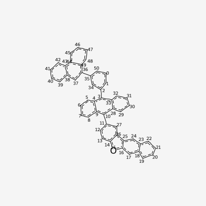 c1cc(-c2c3ccccc3c(-c3ccc4oc5cc6ccccc6cc5c4c3)c3ccccc23)cc(-c2cc3ccccc3c3ccccc23)c1